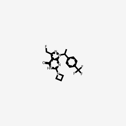 CC(c1ccc(C(F)(F)F)cc1)n1nc(CF)c2c(=O)[nH]c(N3CCC3)nc21